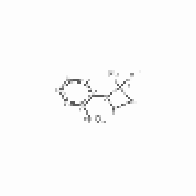 O=[N+]([O-])c1ccccc1C1CCC1(F)F